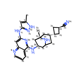 Cc1cc(Nc2cc3ncccc3c(N[C@@H]3CC4CC([C@H]5C[C@H](C#N)C5)C[C@@H](C3)N4)n2)n[nH]1